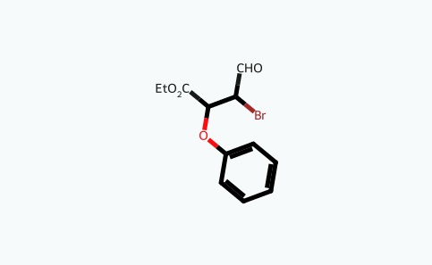 CCOC(=O)C(Oc1ccccc1)C(Br)C=O